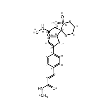 CNC(=O)C=Cc1ccc(-c2ccc([C@@]3(CC(=O)NO)CCCCS3(=O)=O)s2)cc1